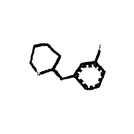 Fc1cccc(CC2CCCC[N]2)c1